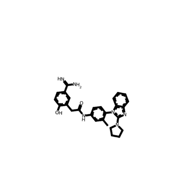 Cc1cc(NC(=O)Cc2cc(C(=N)N)ccc2O)ccc1-n1c(N2CCCC2)nc2ccccc21